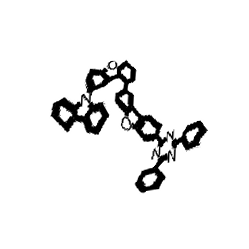 c1ccc(-c2nc(-c3ccccc3)nc(-c3ccc4c(c3)oc3ccc(-c5cccc6oc7ccc(-n8c9ccccc9c9ccccc98)cc7c56)cc34)n2)cc1